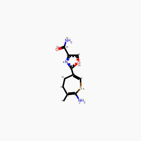 CC1=C(N)SC=C(c2nc(C(N)=O)co2)CC1